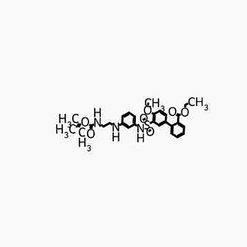 CCOC(=O)c1ccccc1-c1ccc(OC)c(S(=O)(=O)Nc2cccc(NCCNC(=O)OC(C)(C)C)c2)c1